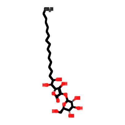 O=C(O)CCCCCCCCCCCCCCCC(O)[C@H](O)[C@H]1OC(=O)C(OC2O[C@H](CO)[C@@H](O)[C@H](O)[C@H]2O)=C1O